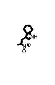 C/C(=C/c1c[nH]c2ccccc12)[N+](=O)[O-]